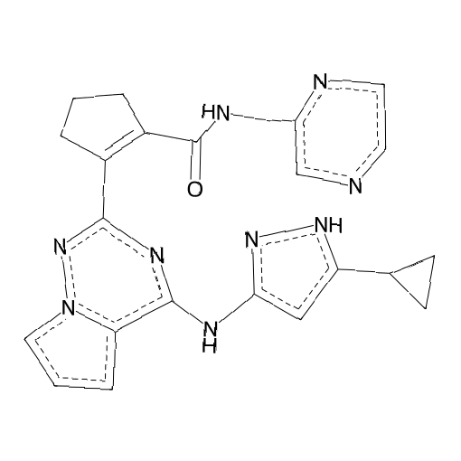 O=C(Nc1cnccn1)C1=C(c2nc(Nc3cc(C4CC4)[nH]n3)c3cccn3n2)CCC1